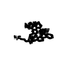 CCCCc1nn(Cc2ccc(-c3ccccc3-c3nnn[nH]3)cc2)c(=O)n1Cc1ccc(-c2ccccc2-c2nnn[nH]2)cc1